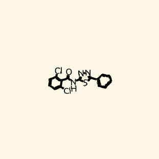 O=C(Nc1nnc(-c2ccccc2)s1)c1c(Cl)cccc1Cl